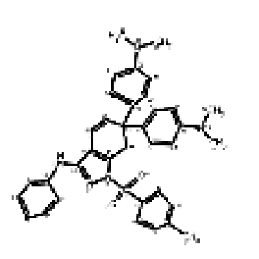 Cc1ccc(S(=O)(=O)n2nc(Nc3ccccc3)c3c2CC(c2ccc(N(C)C)cc2)(c2ccc(N(C)C)cc2)C=C3)cc1